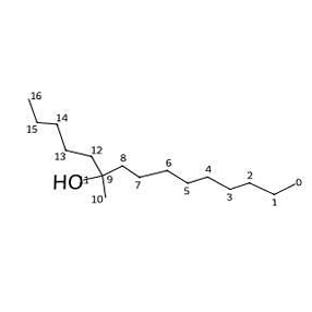 CCCCCCCCCC(C)(O)CCCCC